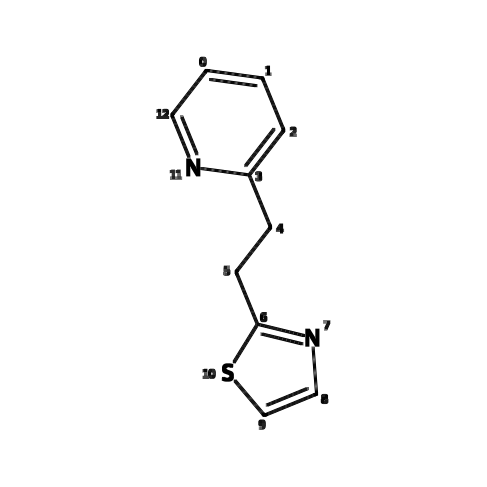 c1ccc(CCc2nccs2)nc1